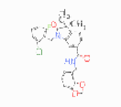 CC1(C)C(=O)N(Cc2c(F)cccc2Cl)c2cc(C(=O)NCc3cccc4c3OCO4)ccc21